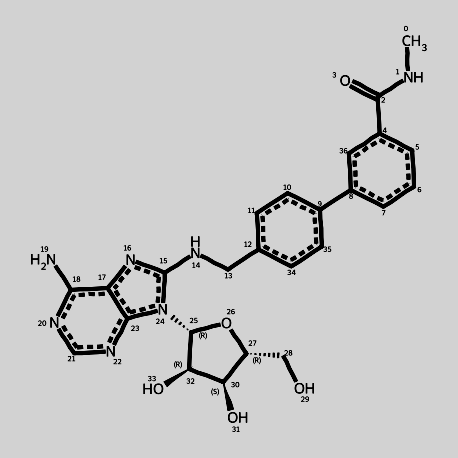 CNC(=O)c1cccc(-c2ccc(CNc3nc4c(N)ncnc4n3[C@@H]3O[C@H](CO)[C@@H](O)[C@H]3O)cc2)c1